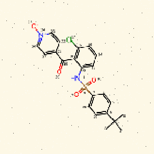 CC(C)(C)c1ccc(S(=O)(=O)Nc2cccc(Cl)c2C(=O)c2cc[n+]([O-])cc2)cc1